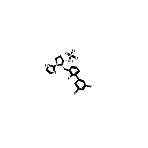 CCS(=O)(=O)N[C@H]1CCN(c2ncc[nH]2)[C@H]1Cc1cccc(-c2cc(F)cc(F)c2)c1F